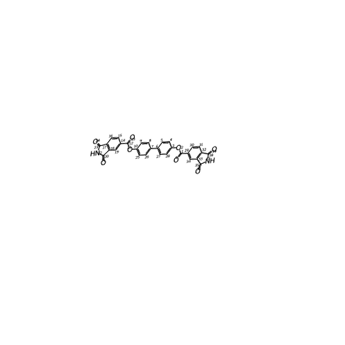 O=C(Oc1ccc(-c2ccc(OC(=O)c3ccc4c(c3)C(=O)NC4=O)cc2)cc1)c1ccc2c(c1)C(=O)NC2=O